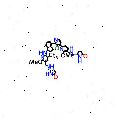 COc1nc(-c2ccnc(-c3cccc4c3CC[C@@H]4Nc3nc(OC)c(CNC[C@@H]4CCC(=O)N4)cc3C(F)(F)F)c2Cl)ccc1CNC[C@@H]1CCC(=O)N1